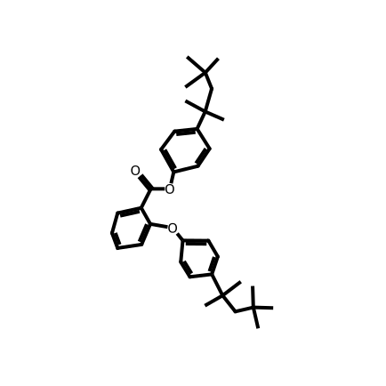 CC(C)(C)CC(C)(C)c1ccc(OC(=O)c2ccccc2Oc2ccc(C(C)(C)CC(C)(C)C)cc2)cc1